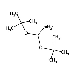 CC(C)(C)OC([SiH2])OC(C)(C)C